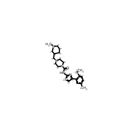 COc1ccc(C)cc1-c1csc(NC(=O)N2CCN(CC3CCCN(C)C3)CC2)n1